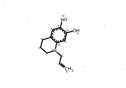 C=CCN1CCCc2cc(N=O)c(O)cc21